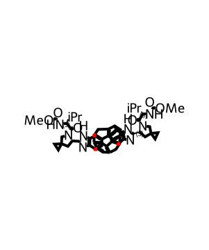 COC(=O)N[C@H](C(=O)N1CC2(CC2)CC1c1nc2ccc(-c3cc4ccc3CCc3ccc(c(-c5ccc6[nH]c([C@@H]7CC8(CC8)CN7C(=O)[C@@H](NC(=O)OC)C(C)C)nc6c5)c3)CC4)cc2[nH]1)C(C)C